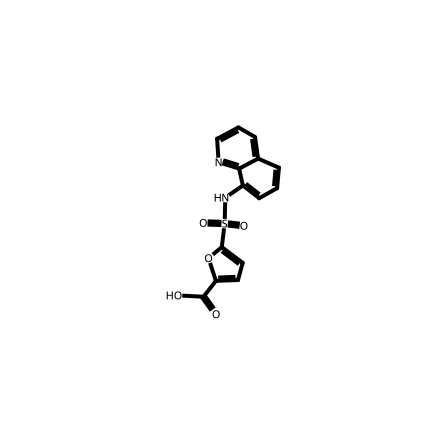 O=C(O)c1ccc(S(=O)(=O)Nc2cccc3cccnc23)o1